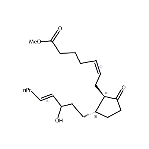 CCC/C=C/C(O)CC[C@H]1CCC(=O)[C@@H]1C/C=C\CCCC(=O)OC